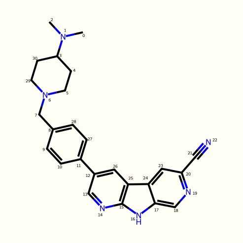 CN(C)C1CCN(Cc2ccc(-c3cnc4[nH]c5cnc(C#N)cc5c4c3)cc2)CC1